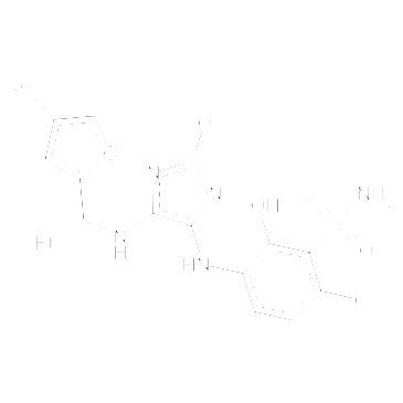 CC[C@@H](Nc1n[s+]([O-])nc1Nc1ccc(Cl)c(S(N)(=O)=O)c1O)c1cc(C(C)C)co1